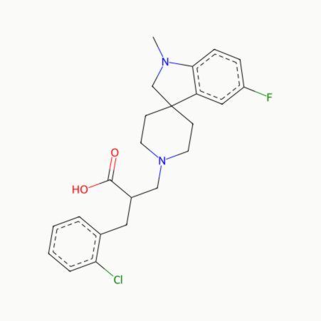 CN1CC2(CCN(CC(Cc3ccccc3Cl)C(=O)O)CC2)c2cc(F)ccc21